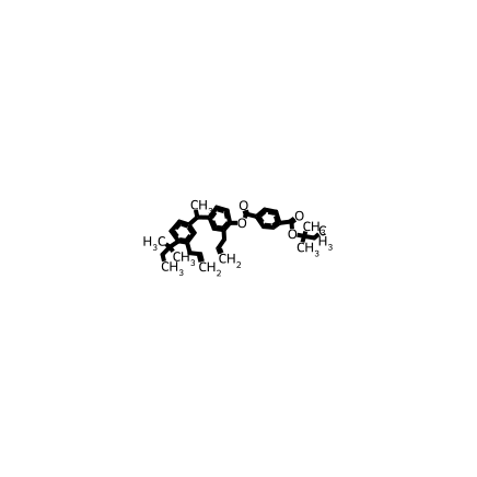 C=CCc1cc(C(C)c2ccc(C(C)(C)CC)c(CC=C)c2)ccc1OC(=O)c1ccc(C(=O)OC(C)(C)CC)cc1